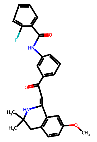 COc1ccc2c(c1)C(=CC(=O)c1cccc(NC(=O)c3ccccc3F)c1)NC(C)(C)C2